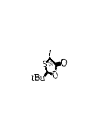 C[C@@H]1SC(C(C)(C)C)OC1=O